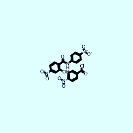 O=C(Cl)c1ccc([N+](=O)[O-])cc1.O=C(Nc1ccc([N+](=O)[O-])cc1)c1ccc([N+](=O)[O-])cc1O